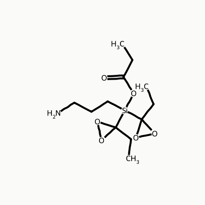 CCC(=O)O[Si](CCCN)(C1(CC)OO1)C1(CC)OO1